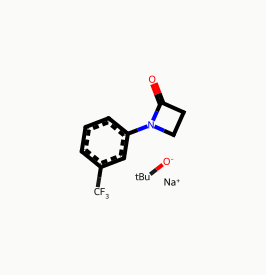 CC(C)(C)[O-].O=C1CCN1c1cccc(C(F)(F)F)c1.[Na+]